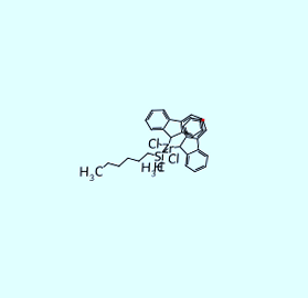 CCCCCC[SiH](C)[Zr]([Cl])([Cl])([CH]1c2ccccc2-c2ccccc21)[CH]1c2ccccc2-c2ccccc21